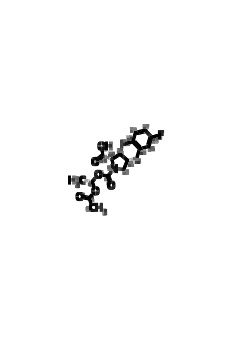 CC(=O)O[C@H](C)OC(=O)N1C[C@@H](Cc2cc(F)ccc2F)C[C@H]1C(=O)O